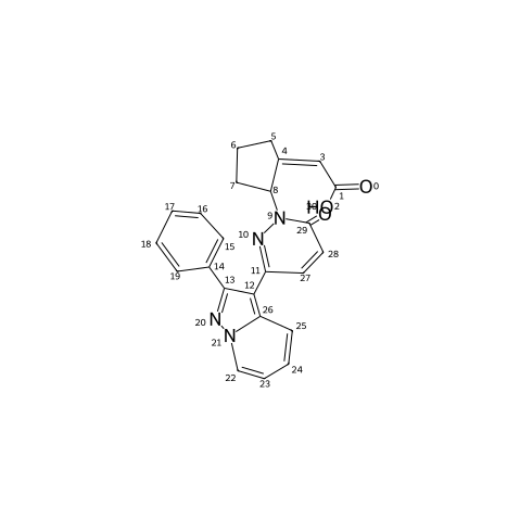 O=C(O)/C=C1/CCCC1n1nc(-c2c(-c3ccccc3)nn3ccccc23)ccc1=O